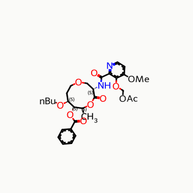 CCCCO[C@H]1CCOC[C@H](NC(=O)c2nccc(OC)c2OCOC(C)=O)C(=O)O[C@@H](C)[C@@H]1OC(=O)c1ccccc1